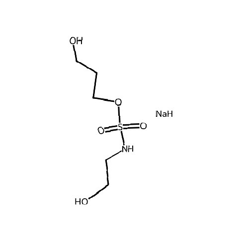 O=S(=O)(NCCO)OCCCO.[NaH]